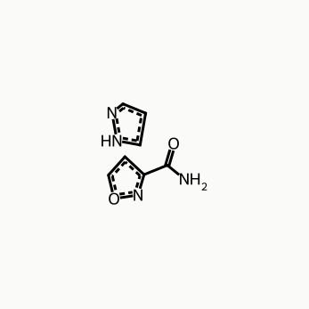 NC(=O)c1ccon1.c1cn[nH]c1